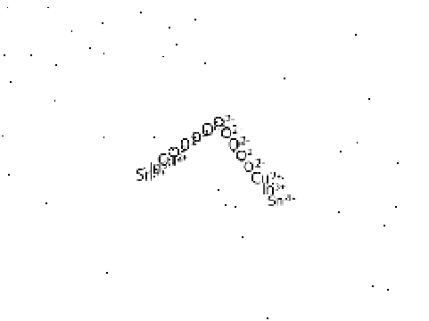 [Cu+2].[Cu+2].[In+3].[In+3].[O-2].[O-2].[O-2].[O-2].[O-2].[O-2].[O-2].[O-2].[O-2].[Sn+4].[Sn+4]